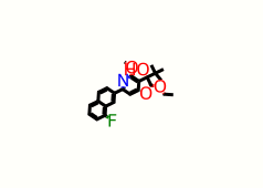 CCOC(=O)C(O)(c1ccc(-c2ccc3cccc(F)c3c2)nc1OC)C(C)(C)C